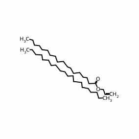 C=CCOC(=O)CCCCCCCCCCCCCCCCC.CCCCCCCCCCCCCCCCCCCC